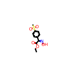 CCOC(=O)C(=NO)c1ccc(S(C)(=O)=O)cc1